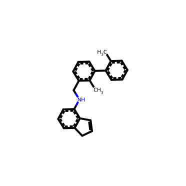 Cc1ccccc1-c1cccc(CNc2cccc3c2C=CC3)c1C